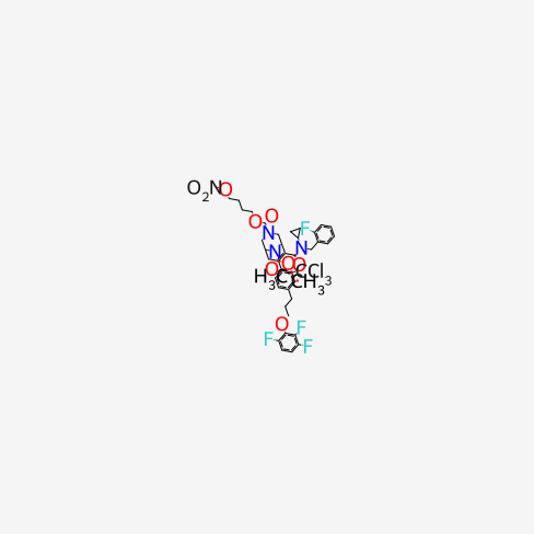 CC(C)(OC(=O)N1C2CC(c3ccc(CCCOc4c(F)ccc(F)c4F)cc3)=C(C(=O)N(Cc3ccccc3F)C3CC3)C1CN(C(=O)OCCCCO[N+](=O)[O-])C2)C(Cl)(Cl)Cl